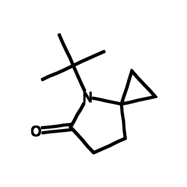 CC(C)(C)N1C(=O)CCC12CC2